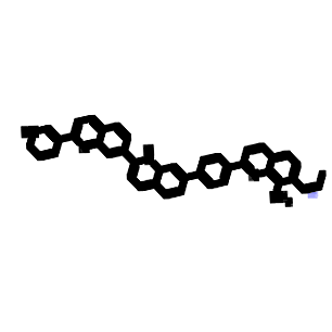 C/C=C\c1ccc2ccc(-c3ccc(C4=CC5NC(c6ccc7ccc(C8=CNCC=C8)nc7c6)=CC=C5C=C4)cc3)nc2c1N